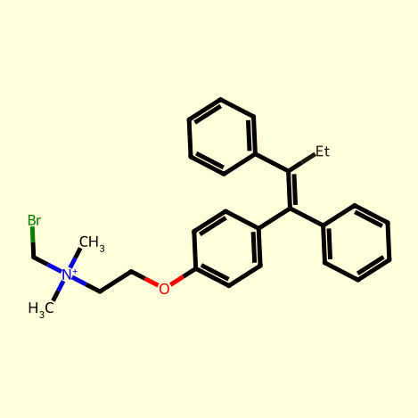 CC/C(=C(\c1ccccc1)c1ccc(OCC[N+](C)(C)CBr)cc1)c1ccccc1